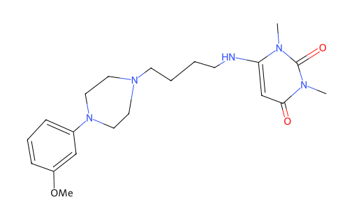 COc1cccc(N2CCN(CCCCNc3cc(=O)n(C)c(=O)n3C)CC2)c1